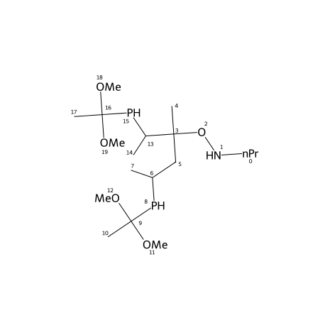 CCCNOC(C)(CC(C)PC(C)(OC)OC)C(C)PC(C)(OC)OC